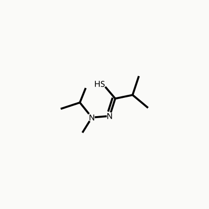 CC(C)/C(S)=N/N(C)C(C)C